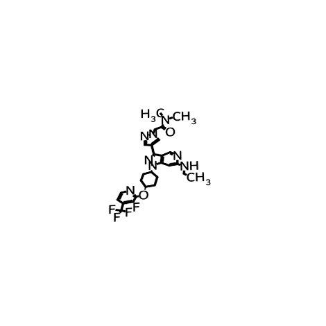 CCNc1cc2c(cn1)c(-c1cnn(CC(=O)N(C)C)c1)nn2[C@H]1CC[C@@H](Oc2nccc(C(F)(F)F)c2F)CC1